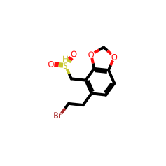 O=[SH](=O)Cc1c(CCBr)ccc2c1OCO2